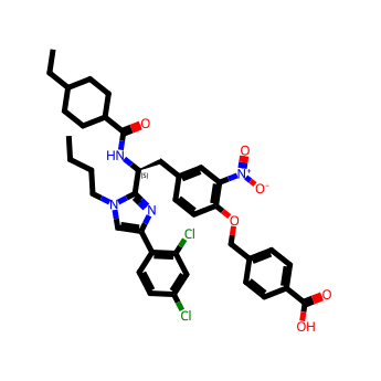 CCCCn1cc(-c2ccc(Cl)cc2Cl)nc1[C@H](Cc1ccc(OCc2ccc(C(=O)O)cc2)c([N+](=O)[O-])c1)NC(=O)C1CCC(CC)CC1